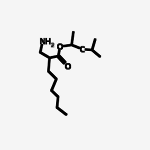 CCCCCCC(CN)C(=O)OC(C)CC(C)C